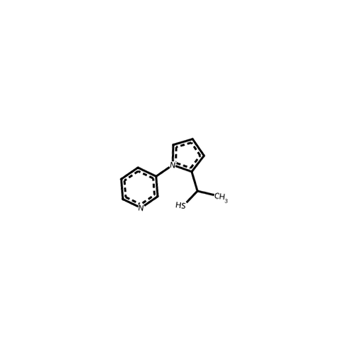 CC(S)c1cccn1-c1cccnc1